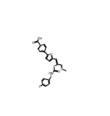 COC/C(=C/c1ccc(-c2ccc(C(=O)O)cc2)o1)SC(=O)NCc1ccc(F)cc1